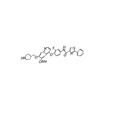 COc1cc2c(Oc3ccc(NC(=O)c4csc(-c5ccccc5)n4)cc3F)ccnc2cc1OCC1CCNCC1